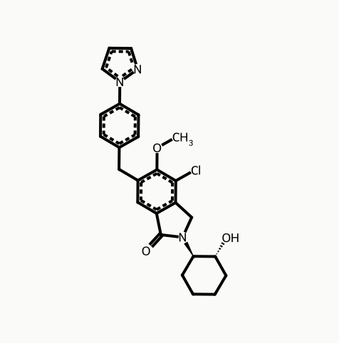 COc1c(Cc2ccc(-n3cccn3)cc2)cc2c(c1Cl)CN([C@@H]1CCCC[C@H]1O)C2=O